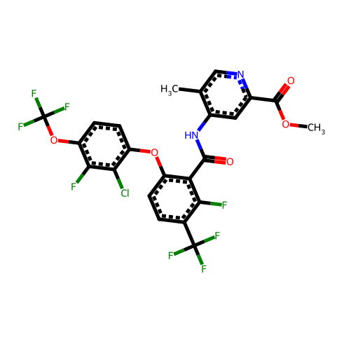 COC(=O)c1cc(NC(=O)c2c(Oc3ccc(OC(F)(F)F)c(F)c3Cl)ccc(C(F)(F)F)c2F)c(C)cn1